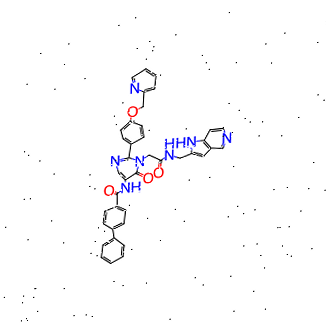 O=C(Cn1c(-c2ccc(OCc3ccccn3)cc2)ncc(NC(=O)c2ccc(-c3ccccc3)cc2)c1=O)NCc1cc2cnccc2[nH]1